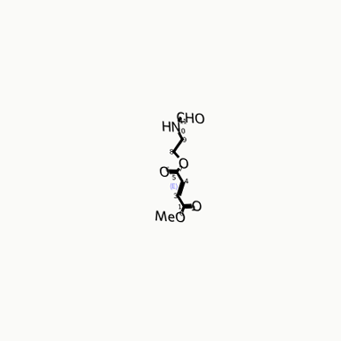 COC(=O)/C=C/C(=O)OCCNC=O